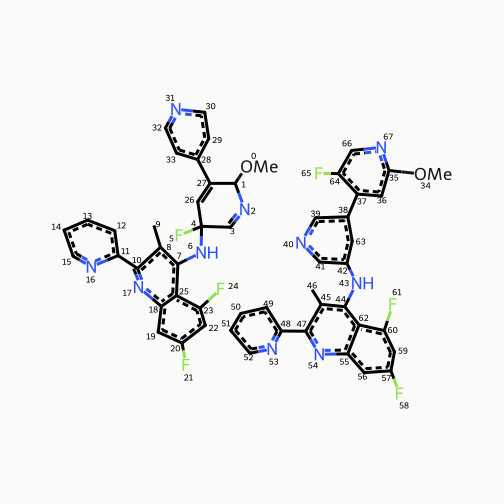 COC1N=CC(F)(Nc2c(C)c(-c3ccccn3)nc3cc(F)cc(F)c23)C=C1c1ccncc1.COc1cc(-c2cncc(Nc3c(C)c(-c4ccccn4)nc4cc(F)cc(F)c34)c2)c(F)cn1